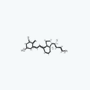 C=C1/C(=C\C=C2CCC[C@@]3(C)C2CC[C@@H]3[C@H](C)CCCC(C)C)C[C@@H](O)CC1F